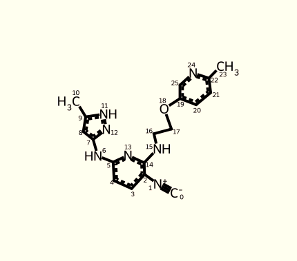 [C-]#[N+]c1ccc(Nc2cc(C)[nH]n2)nc1NCCOc1ccc(C)nc1